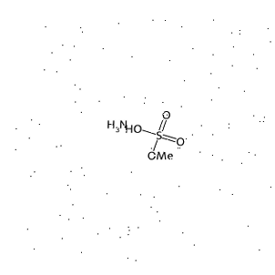 COS(=O)(=O)O.N